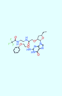 CC[C@@H]1C[C@H](OCC(=O)NCCNC(=O)C(F)(F)F)[C@H](n2cnc3c(=O)[nH]c(NOCCOc4ccccc4)nc32)O1